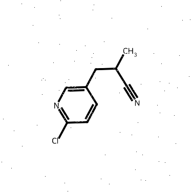 CC(C#N)Cc1ccc(Cl)nc1